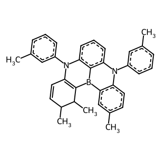 Cc1cccc(N2C3=C(B4c5cc(C)ccc5N(c5cccc(C)c5)c5cccc2c54)C(C)C(C)C=C3)c1